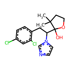 CC1(C)CCOC1(O)C(Cc1ccc(Cl)cc1Cl)n1ccnc1